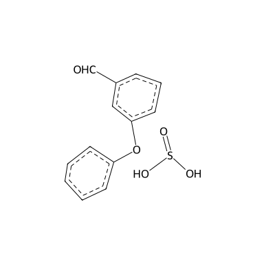 O=Cc1cccc(Oc2ccccc2)c1.O=S(O)O